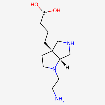 NCCN1CC[C@]2(CCCB(O)O)CNC[C@H]12